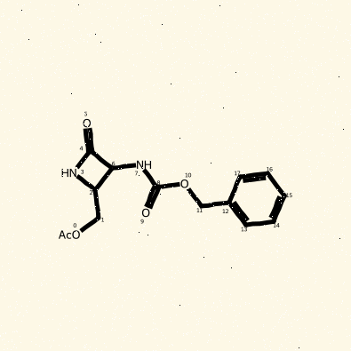 CC(=O)OCC1NC(=O)C1NC(=O)OCc1ccccc1